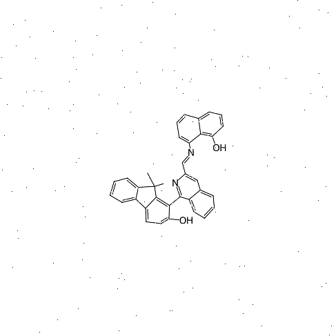 CC1(C)c2ccccc2-c2ccc(O)c(-c3nc(/C=N/c4cccc5cccc(O)c45)cc4ccccc34)c21